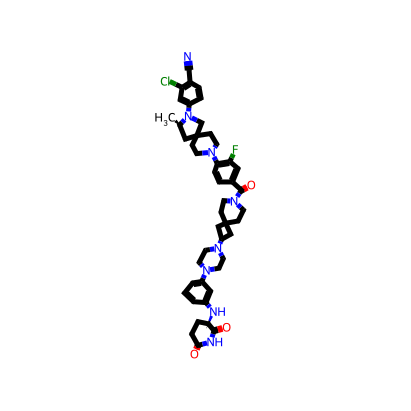 C[C@@H]1CC2(CCN(c3ccc(C(=O)N4CCC5(CC4)CC(N4CCN(c6cccc(N[C@@H]7CCC(=O)NC7=O)c6)CC4)C5)cc3F)CC2)CN1c1ccc(C#N)c(Cl)c1